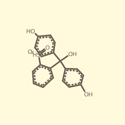 O=[SH](=O)c1ccccc1C(O)(c1ccc(O)cc1)c1ccc(O)cc1